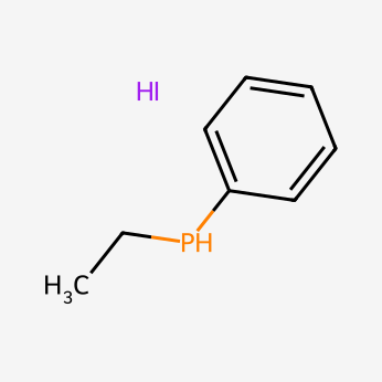 CCPc1ccccc1.I